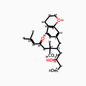 CCCCCCCCCCCC(O)CC(Cc1ccc2c(c1)OCCC2)C(C)(CC(=O)C=C(C)C)C(=O)O